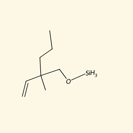 C=CC(C)(CCC)CO[SiH3]